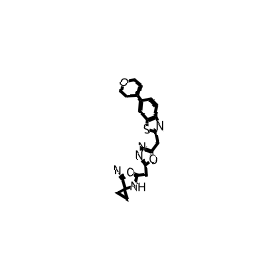 N#CC1(NC(=O)Cc2nnc(Cc3nc4ccc(C5=CCOCC5)cc4s3)o2)CC1